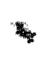 CCC(=O)O[C@@H](C(=O)O[C@H]1C[C@]2(O)CC(=C1C)[C@@H](OC(=O)CNC(=O)OCC1c3ccccc3-c3ccccc31)C(=O)C1(C)C([C@@H]2OC(=O)c2ccccc2)[C@]2(C)COC2C[C@@H]1OC(=O)CNC(=O)OCC1c2ccccc2-c2ccccc21)[C@@H](NC(=O)OC(C)(C)C)c1ccccc1